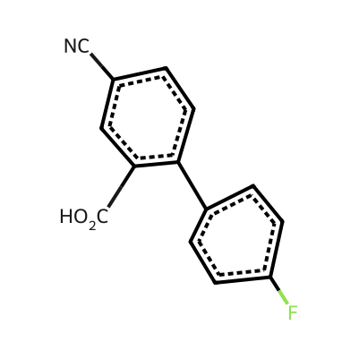 N#Cc1ccc(-c2ccc(F)cc2)c(C(=O)O)c1